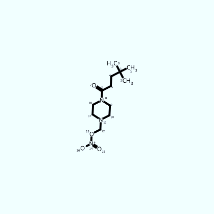 CC(C)(C)CCC(=O)N1CCN(CO[N+](=O)[O-])CC1